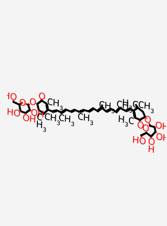 CC1=C(/C=C/C(C)=C/C=C/C(C)=C/C=C/C=C(C)/C=C/C=C(C)/C=C/C2=C(C)C(=O)[C@@H](OC3OC(CO)C(O)C(O)C3O)CC2(C)C)C(C)(C)C[C@H](OC2OC(CO)C(O)C(O)C2O)C1=O